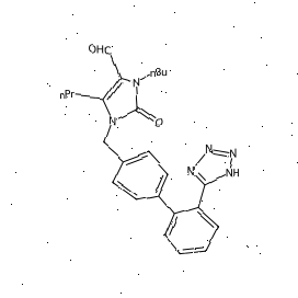 CCCCn1c(C=O)c(CCC)n(Cc2ccc(-c3ccccc3-c3nnn[nH]3)cc2)c1=O